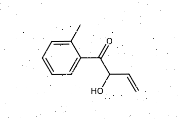 C=CC(O)C(=O)c1ccccc1C